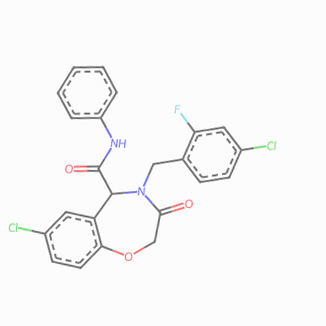 O=C(Nc1ccccc1)C1c2cc(Cl)ccc2OCC(=O)N1Cc1ccc(Cl)cc1F